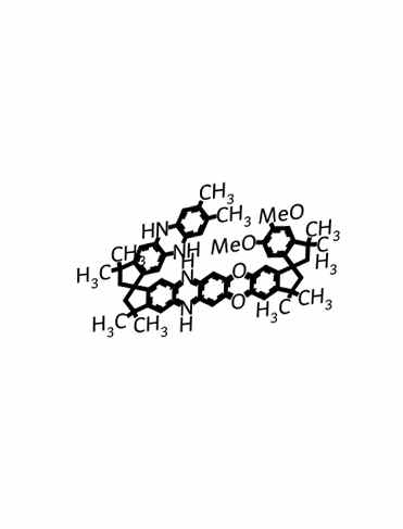 COc1cc2c(cc1OC)C1(CC2(C)C)CC(C)(C)c2cc3oc4cc5[nH]c6cc7c(cc6[nH]c5cc4oc3cc21)C1(CC(C)(C)c2cc3c(cc21)Nc1cc(C)c(C)cc1N3)CC7(C)C